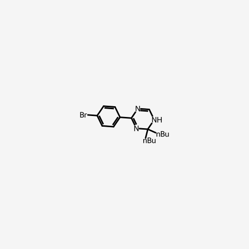 CCCCC1(CCCC)N=C(c2ccc(Br)cc2)N=CN1